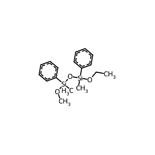 CCO[Si](C)(O[Si](C)(OC)c1ccccc1)c1ccccc1